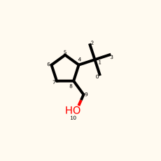 CC(C)(C)C1CCCC1CO